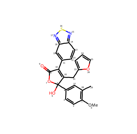 COc1ccc(C2(O)OC(=O)C(c3ccc4nsnc4c3)=C2Cc2ccco2)cc1C